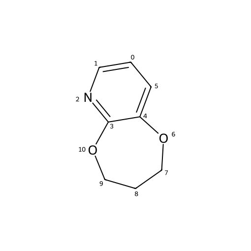 c1cnc2c(c1)OCCCO2